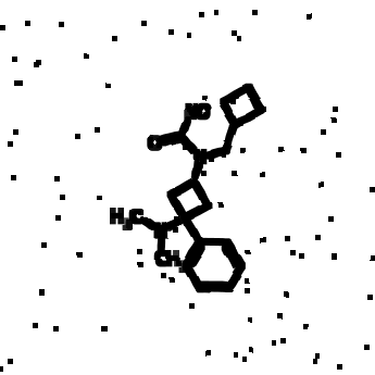 CN(C)[C@]1(c2ccccc2)C[C@H](N(CC2CCC2)C(=O)N=O)C1